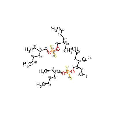 CCCCC(CC)COP(=S)([S-])OCC(CC)CCCC.CCCCC(CC)COP(=S)([S-])OCC(CC)CCCC.[Cu+2]